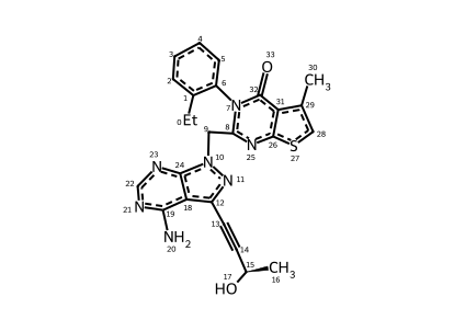 CCc1ccccc1-n1c(Cn2nc(C#C[C@@H](C)O)c3c(N)ncnc32)nc2scc(C)c2c1=O